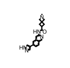 CN1CC2(CC(C(=O)Nc3cc4cc(-c5cn[nH]c5)ccc4cn3)C2)C1